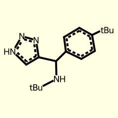 CC(C)(C)NC(c1ccc(C(C)(C)C)cc1)c1c[nH]nn1